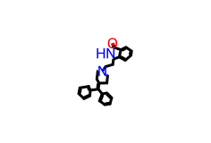 O=C1NC(CCN2CCC(=C(c3ccccc3)c3ccccc3)CC2)c2ccccc21